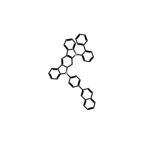 C1=C2c3ccccc3N(c3ccc(-c4ccc5ccccc5c4)cc3)C2Cc2c1c1ccccc1n2-c1ccccc1-c1ccccc1